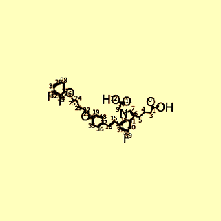 O=C(O)CCCc1cn(CC(=O)O)c2c(C=Cc3ccc(OCCCCOc4cccc(F)c4F)cc3)cc(F)cc12